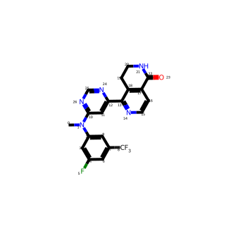 CN(c1cc(F)cc(C(F)(F)F)c1)c1cc(-c2nccc3c2CCNC3=O)ncn1